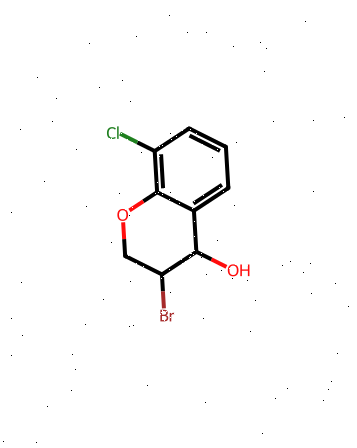 OC1c2cccc(Cl)c2OCC1Br